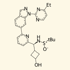 CCc1ccnc(-n2ncc3ccc(-c4cccc([C@@H](N[S@+]([O-])C(C)(C)C)C5CC(O)C5)n4)cc32)n1